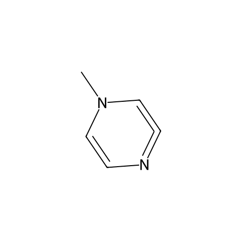 CN1C=C=NC=C1